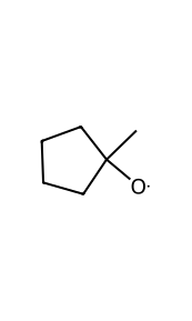 CC1([O])CCCC1